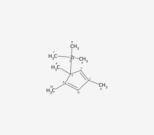 CC1=C[C](C)([Zr]([CH3])([CH3])[CH3])C(C)=C1